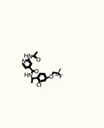 CC(=O)Nc1cc(C(=O)NC(C)c2ccc(OC[C@@H](C)F)cc2Cl)ccn1